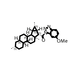 COc1ccc2nnn(C(=O)[C@H]3[C@H]4[C@@H](C)[C@H]4C4[C@@H]5CC[C@@H]6C[C@@H](C)CC[C@@H]6[C@H]5CC[C@@]43C)c2c1